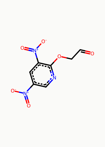 O=CCOc1ncc([N+](=O)[O-])cc1[N+](=O)[O-]